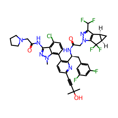 Cn1nc(NC(=O)CN2CCCC2)c2c(Cl)ccc(-c3ccc(C#CC(C)(C)O)nc3[C@H](Cc3cc(F)cc(F)c3)NC(=O)Cn3nc(C(F)F)c4c3C(F)(F)[C@@H]3C[C@H]43)c21